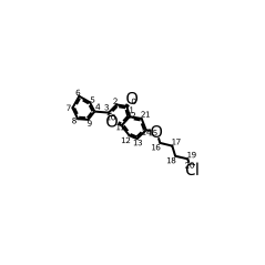 O=c1cc(-c2ccccc2)oc2ccc(OCCCCCl)cc12